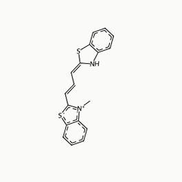 C[n+]1c(C=CC=C2Nc3ccccc3S2)sc2ccccc21